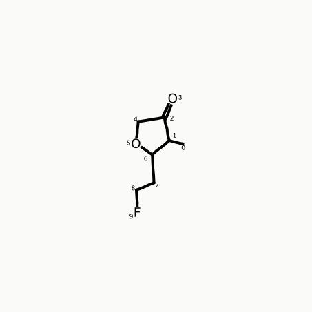 CC1C(=O)COC1CCF